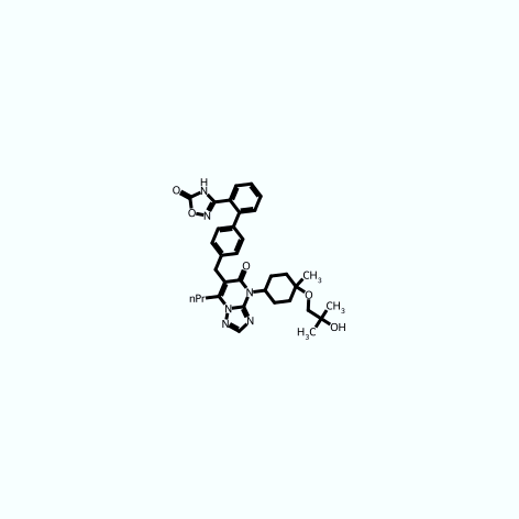 CCCc1c(Cc2ccc(-c3ccccc3-c3noc(=O)[nH]3)cc2)c(=O)n(C2CCC(C)(OCC(C)(C)O)CC2)c2ncnn12